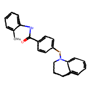 COc1ccccc1NC(=O)c1ccc(SN2CCCc3ccccc32)cc1